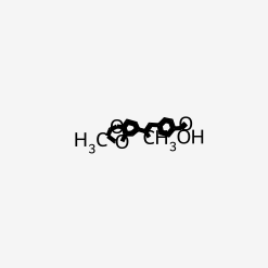 CC(=Cc1ccc(C(=O)O)cc1)c1ccc2c(c1)OCC(C)CO2